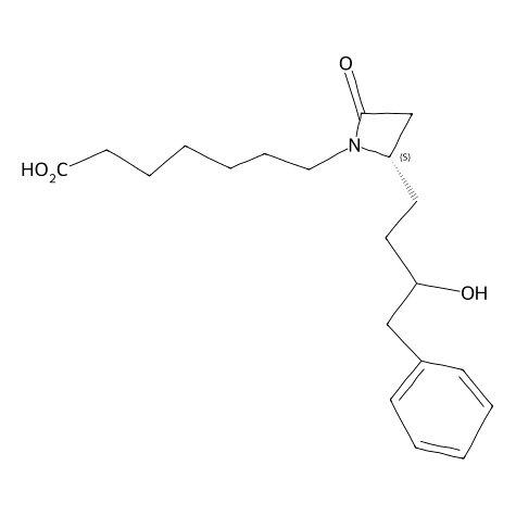 O=C(O)CCCCCCN1C(=O)C[C@@H]1CCC(O)Cc1ccccc1